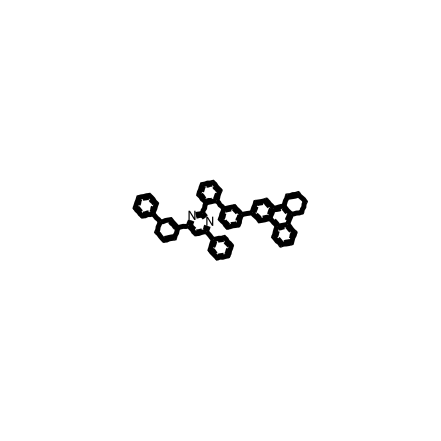 C1=Cc2c(c3ccccc3c3cc(-c4cccc(-c5ccccc5-c5nc(C6=CC(c7ccccc7)CC=C6)cc(-c6ccccc6)n5)c4)ccc23)CC1